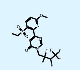 CCS(=O)(=O)c1ccc(OC)nc1-c1cc(=O)n(CC(F)(F)C(F)C(F)(F)F)cn1